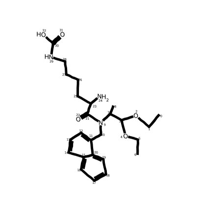 CCOC(OCC)C(C)N(Cc1cccc2ccccc12)C(=O)C(N)CCCCNC(=O)O